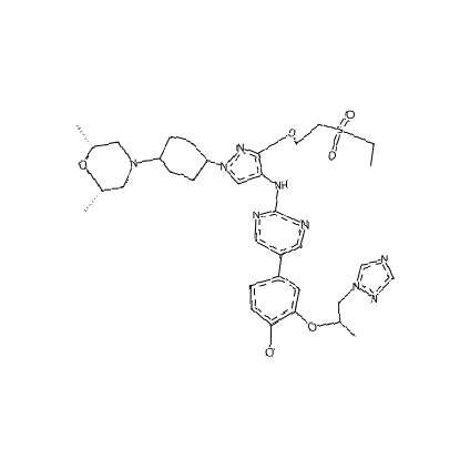 CCS(=O)(=O)CCOc1nn(C2CCC(N3C[C@@H](C)O[C@@H](C)C3)CC2)cc1Nc1ncc(-c2ccc(Cl)c(OC(C)Cn3cncn3)c2)cn1